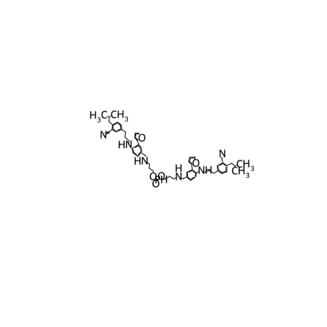 CC(C)Cc1ccc(CCCNc2ccc(CNCCCO[PH](=O)OCCCNCc3ccc(NCCCc4ccc(CC(C)C)c(C#N)c4)c(-c4ccco4)c3)cc2-c2ccco2)cc1C#N